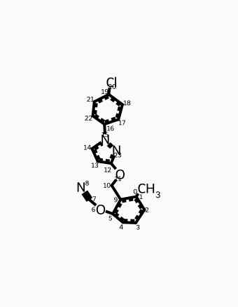 Cc1cccc(OC#N)c1COc1ccn(-c2ccc(Cl)cc2)n1